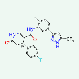 Cc1ccc(-c2cc(C(F)(F)F)[nH]n2)cc1NC(=O)C1=CNC(=O)C[C@H]1c1ccc(F)cc1